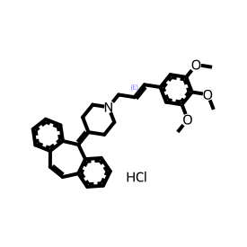 COc1cc(/C=C/CN2CCC(=C3c4ccccc4C=Cc4ccccc43)CC2)cc(OC)c1OC.Cl